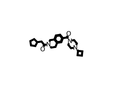 O=C(CC1CCCC1)N1CCc2cc(C(=O)N3CCN(C4CCC4)CC3)ccc2C1